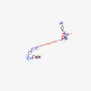 Cc1cnc(Nc2ccc(N3CCN(CC(=O)NCCOCCOCCOCCOCCOCCC(=O)N[C@H](C(=O)N4C[C@H](O)C[C@H]4C(=O)NCc4ccc(-c5scnc5C)cc4)C(C)(C)C)CC3)cc2)nc1Nc1cccc(S(=O)(=O)NC(C)(C)C)c1